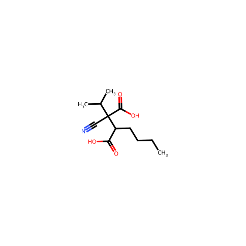 CCCCC(C(=O)O)C(C#N)(C(=O)O)C(C)C